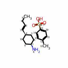 CCC=C[C@H]1CC[C@@H](N)CC1.Cc1ccc(S(=O)(=O)O)cc1